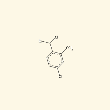 Clc1ccc(C(Cl)Cl)c(C(Cl)(Cl)Cl)c1